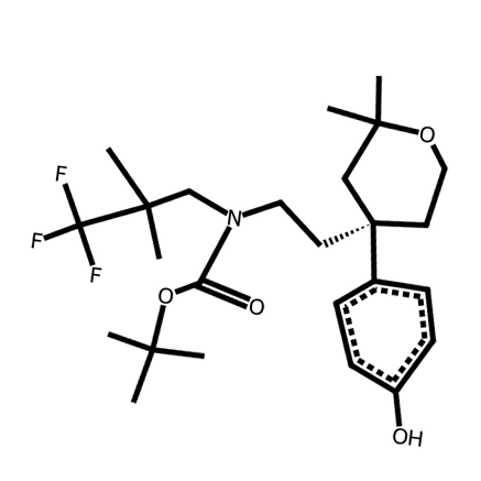 CC(C)(C)OC(=O)N(CC[C@@]1(c2ccc(O)cc2)CCOC(C)(C)C1)CC(C)(C)C(F)(F)F